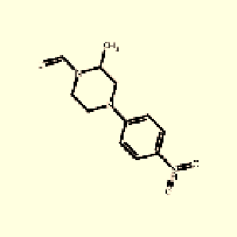 CC1CN(c2ccc([SH](=O)=O)cc2)CCN1C=O